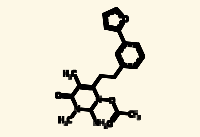 CC1=C(CCc2cccc(-c3ccco3)c2)N(OC(=O)C(F)(F)F)C(N)N(C)C1=O